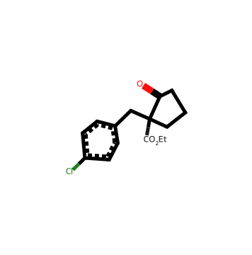 CCOC(=O)C1(Cc2ccc(Cl)cc2)CCCC1=O